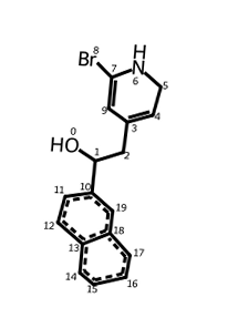 OC(CC1=CCNC(Br)=C1)c1ccc2ccccc2c1